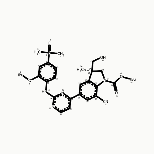 CC(C)Oc1cc(P(C)(C)=O)ccc1Nc1nccc(-c2cc(C#N)c3c(c2)[C@@](C)(CO)CN3C(=O)OC(C)(C)C)n1